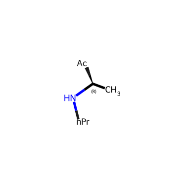 CCCN[C@H](C)C(C)=O